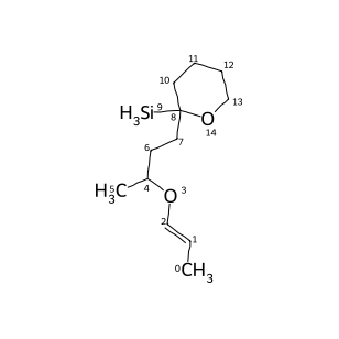 CC=COC(C)CCC1([SiH3])CCCCO1